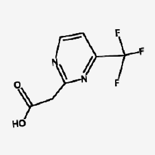 O=C(O)Cc1nccc(C(F)(F)F)n1